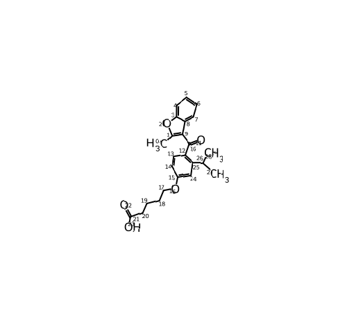 Cc1oc2ccccc2c1C(=O)c1ccc(OCCCCC(=O)O)cc1C(C)C